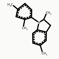 Cc1ccc(N2c3ccc(C)cc3CC2C)c(C)c1